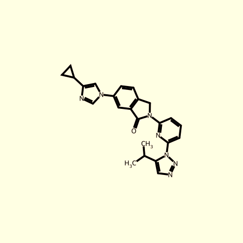 CC(C)c1cnnn1-c1cccc(N2Cc3ccc(-n4cnc(C5CC5)c4)cc3C2=O)n1